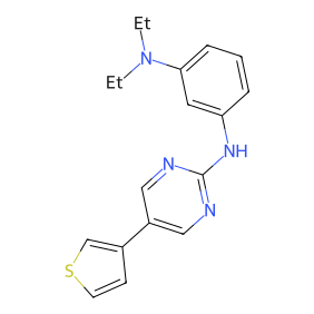 CCN(CC)c1cccc(Nc2ncc(-c3ccsc3)cn2)c1